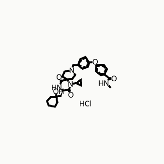 CNC(=O)c1ccc(Oc2ccc(CN3CCC4(CC3)C(=O)N[C@H](CC3(O)CCCCC3)C(=O)N4C3CC3)cc2)cc1.Cl